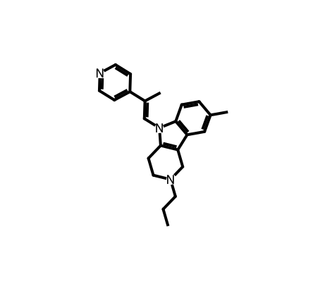 CCCN1CCc2c(c3cc(C)ccc3n2/C=C(\C)c2ccncc2)C1